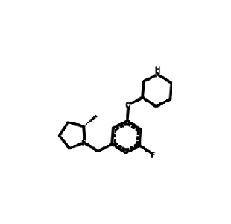 C[C@H]1CCCN1Cc1cc(F)cc(OC2CCCNC2)c1